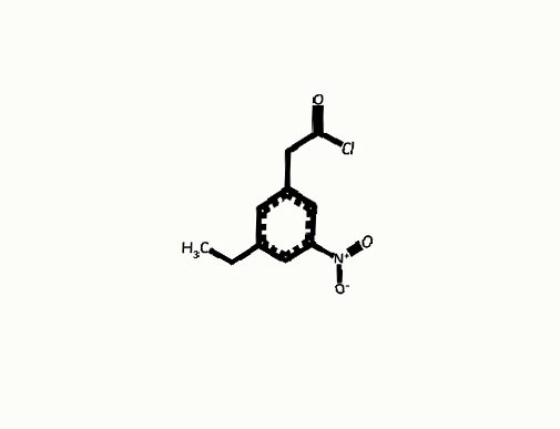 CCc1cc(CC(=O)Cl)cc([N+](=O)[O-])c1